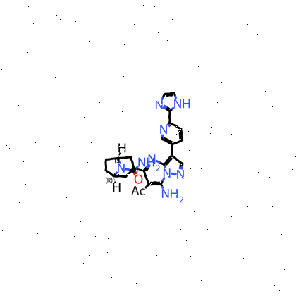 CC(=O)c1c([C@H]2C[C@H]3CC[C@@H](C2)N3C(N)=O)nc2c(-c3ccc(-c4ncc[nH]4)nc3)cnn2c1N